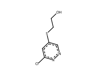 OCCSc1cnnc(Cl)c1